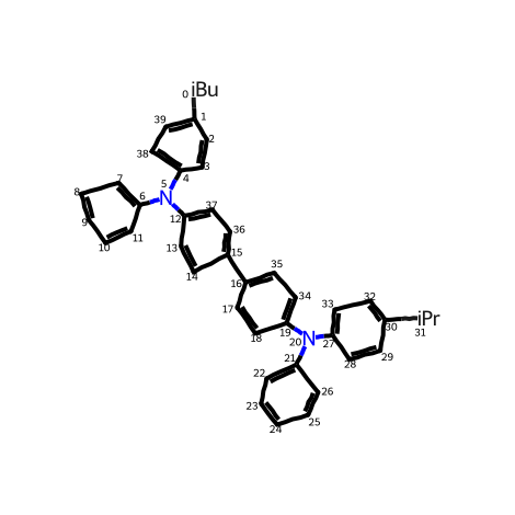 CCC(C)c1ccc(N(c2ccccc2)c2ccc(-c3ccc(N(c4ccccc4)c4ccc(C(C)C)cc4)cc3)cc2)cc1